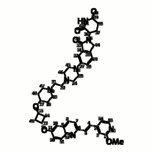 COc1cc(/C=C/c2ccc3cc(O[C@H]4C[C@H](OC5CCN(CCN6CCN(c7ccc8c(c7)C(=O)N(C7CCC(=O)NC7=O)C8)CC6)CC5)C4)ccc3n2)ccn1